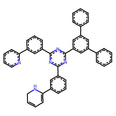 C1=CCNC(c2cccc(-c3nc(-c4cc(-c5ccccc5)cc(-c5ccccc5)c4)nc(-c4cccc(-c5ccccn5)c4)n3)c2)=C1